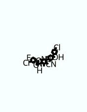 Cc1nc(N2CCC(O)(c3ccc(Cl)cc3)CC2)c(C#N)c(C)c1NS(=O)(=O)c1ccc(F)c(Cl)c1